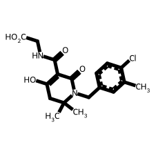 Cc1cc(CN2C(=O)C(C(=O)NCC(=O)O)=C(O)CC2(C)C)ccc1Cl